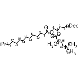 CCCCCCCCCCCCC(COC(=O)CCCCCCCCCCCC(C)C)OC(=O)C(C)CCN(C)C